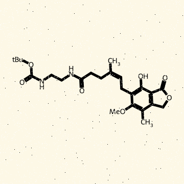 COc1c(C)c2c(c(O)c1CC=C(C)CCC(=O)NCCNC(=O)OC(C)(C)C)C(=O)OC2